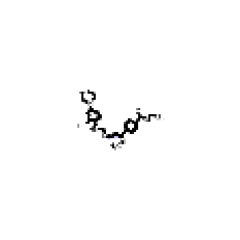 C=N/C(=C\C=N/CNc1ccc(N2CCOCC2)cc1C)c1ccc(C(=O)NCC(F)(F)F)cc1